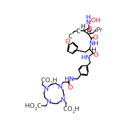 CC(C)C[C@H]1C(=O)N[C@@H](C(=O)NCc2ccc(CNC(=O)CN3CCN(CC(=O)O)CCN(CC(=O)O)CCN(CC(=O)O)CC3)cc2)Cc2ccc(cc2)OCCC[C@@H]1C(=O)NO